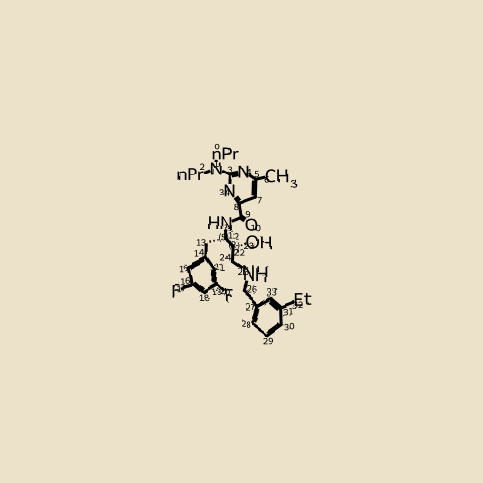 CCCN(CCC)c1nc(C)cc(C(=O)N[C@@H](Cc2cc(F)cc(F)c2)[C@H](O)CNCc2cccc(CC)c2)n1